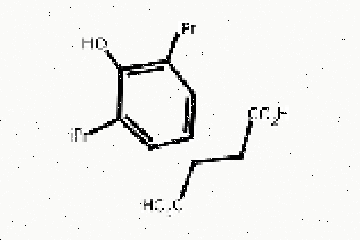 CC(C)c1cccc(C(C)C)c1O.O=C(O)CCC(=O)O